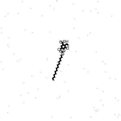 CCCCCCCCCCCCCCCCOC(=O)Oc1c(Cl)cc(C(=O)O)c(CC)c1Cl